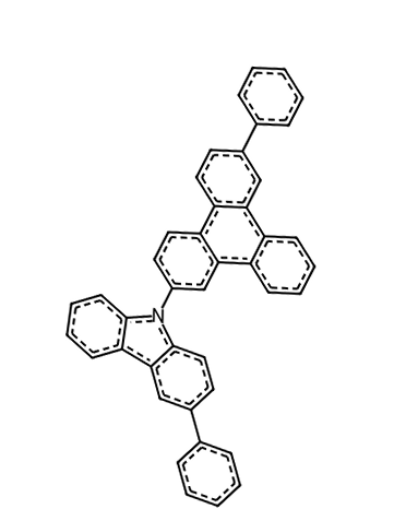 c1ccc(-c2ccc3c4ccc(-n5c6ccccc6c6cc(-c7ccccc7)ccc65)cc4c4ccccc4c3c2)cc1